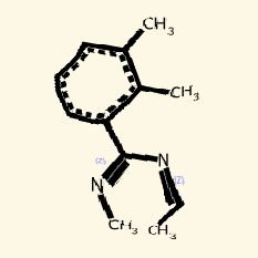 C/C=N\C(=N/C)c1cccc(C)c1C